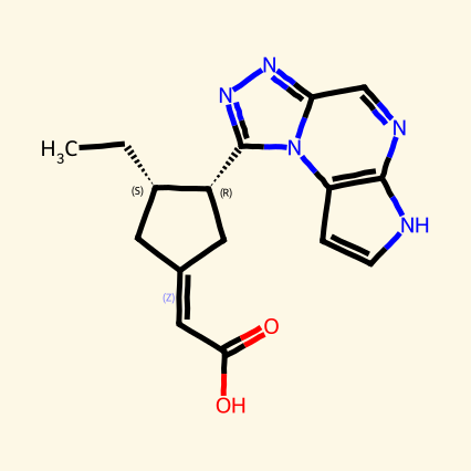 CC[C@H]1C/C(=C/C(=O)O)C[C@H]1c1nnc2cnc3[nH]ccc3n12